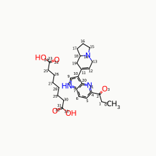 CCC(=O)c1ccc2[nH]cc(C3=CCN4CCCC4C3)c2n1.O=C(O)CCCCCCC(=O)O